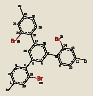 Cc1ccc(-c2cc(-c3ccc(C)cc3Br)cc(-c3ccc(C)cc3Br)c2)c(Br)c1